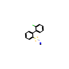 C=NS(=O)(=O)c1ccccc1-c1ccccc1Cl